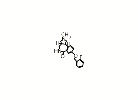 CN1C[C@H]2CNC(=O)c3cc(OCc4ccccc4F)ccc3[C@@H]2C1